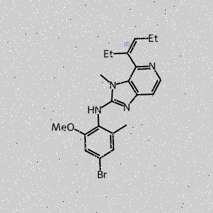 CC/C=C(/CC)c1nccc2nc(Nc3c(C)cc(Br)cc3OC)n(C)c12